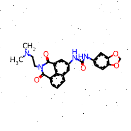 CN(C)CCN1C(=O)c2cccc3cc(NC(=O)Nc4ccc5c(c4)OCO5)cc(c23)C1=O